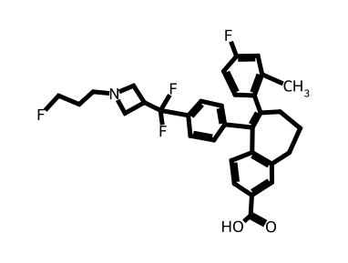 Cc1cc(F)ccc1C1=C(c2ccc(C(F)(F)C3CN(CCCF)C3)cc2)c2ccc(C(=O)O)cc2CCC1